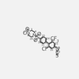 O=S1(=O)CCN(S(=O)(=O)c2ccc(-c3c(Cl)cc(N=C=S)cc3C(F)(F)F)cc2)CC1